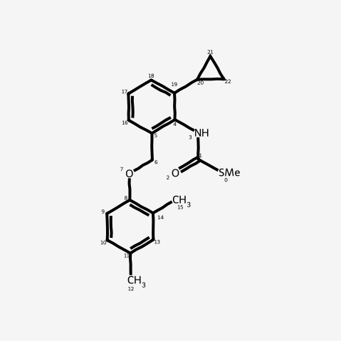 CSC(=O)Nc1c(COc2ccc(C)cc2C)cccc1C1CC1